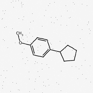 COc1ccc([C]2CCCC2)cc1